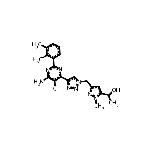 Cc1cccc(-c2nc(N)c(Cl)c(-c3cn(Cc4cc(C(C)O)n(C)n4)nn3)n2)c1C